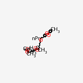 C=CC(=O)OC(C)(C)CCCCCC(=O)OC(C)(C)CCCCCCOC(CCC)CCc1ccc(OC(=O)c2ccc(C)cc2)cc1